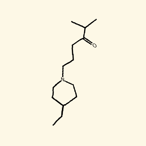 CCC1CCN(CCCC(=O)C(C)C)CC1